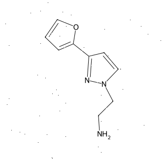 NCCn1[c]cc(-c2ccco2)n1